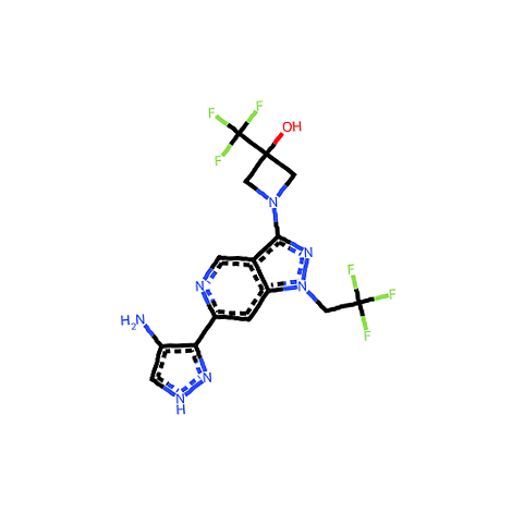 Nc1c[nH]nc1-c1cc2c(cn1)c(N1CC(O)(C(F)(F)F)C1)nn2CC(F)(F)F